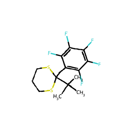 CC(C)(C)C1(c2c(F)c(F)c(F)c(F)c2F)SCCCS1